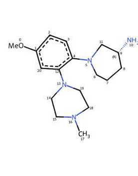 COc1[c]cc(N2CCC[C@@H](N)C2)c(N2CCN(C)CC2)c1